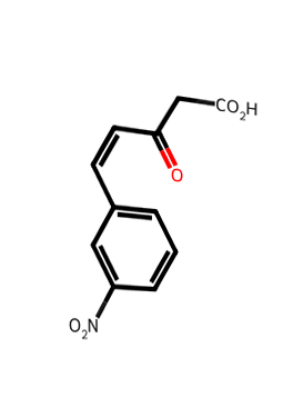 O=C(O)CC(=O)/C=C\c1cccc([N+](=O)[O-])c1